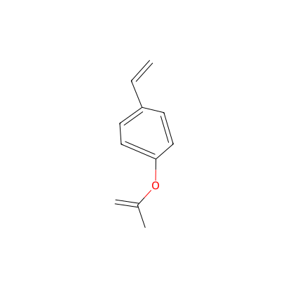 C=Cc1ccc(OC(=C)C)cc1